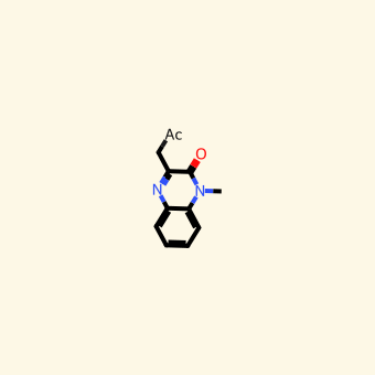 CC(=O)Cc1nc2ccccc2n(C)c1=O